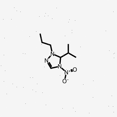 CCCN1N=CN([N+](=O)[O-])C1C(C)C